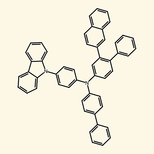 c1ccc(-c2ccc(N(c3ccc(-n4c5ccccc5c5ccccc54)cc3)c3ccc(-c4ccccc4)c(-c4ccc5ccccc5c4)c3)cc2)cc1